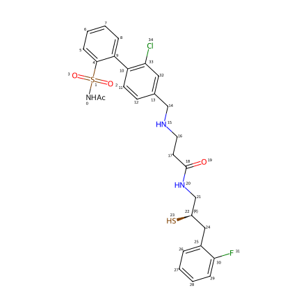 CC(=O)NS(=O)(=O)c1ccccc1-c1ccc(CNCCC(=O)NC[C@H](S)Cc2ccccc2F)cc1Cl